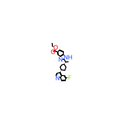 CCOC(=O)c1ccc2[nH]c(C(C)[C@H]3CC[C@@H](c4ccnc5ccc(F)cc54)CC3)nc2c1